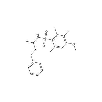 COc1cc(C)c(S(=O)(=O)NC(C)CCc2ccccc2)c(C)c1C